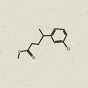 COC(=O)CCC(C)c1cccc(Cl)c1